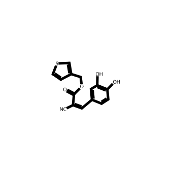 N#CC(=Cc1ccc(O)c(O)c1)C(=O)OCc1ccsc1